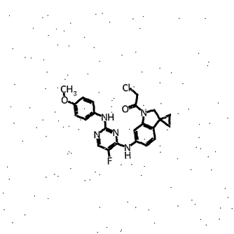 COc1ccc(Nc2ncc(F)c(Nc3ccc4c(c3)N(C(=O)CCl)CC43CC3)n2)cc1